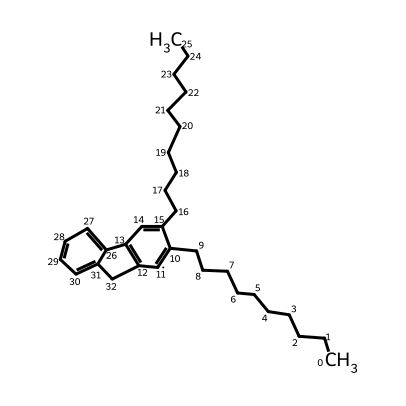 CCCCCCCCCCc1[c]c2c(cc1CCCCCCCCCC)-c1ccccc1C2